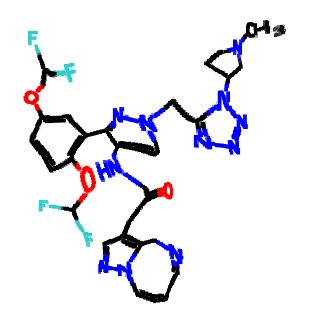 CN1CCC(n2nnnc2Cn2cc(NC(=O)c3cnn4cccnc34)c(-c3cc(OC(F)F)ccc3OC(F)F)n2)C1